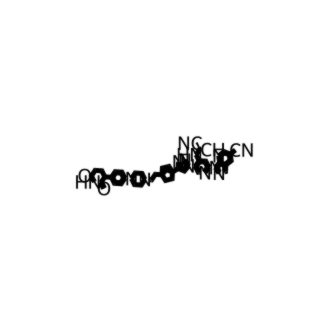 C[C@H](C#N)Nc1cc(-n2ncc3cc(C#N)cnc32)ncc1-n1cc(C23CCC(CCN4CCN(c5ccc(C6CCC(=O)NC6=O)cc5)CC4)(CC2)C3)nn1